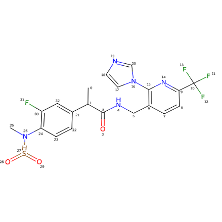 CC(C(=O)NCc1ccc(C(F)(F)F)nc1-n1ccnc1)c1ccc(N(C)[SH](=O)=O)c(F)c1